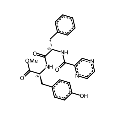 COC(=O)[C@H](Cc1ccc(O)cc1)NC(=O)[C@H](Cc1ccccc1)NC(=O)c1cnccn1